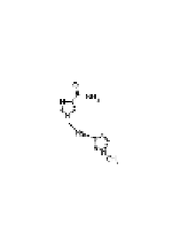 Cn1cnc(C#[N+]Cn2cnc(C(N)=O)c2)c1